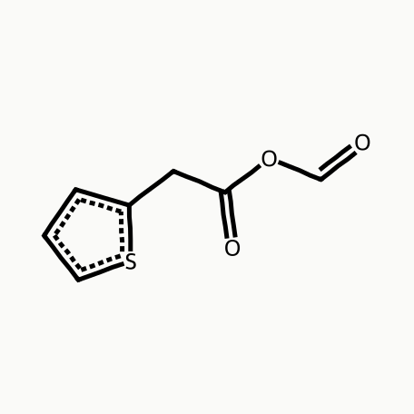 O=COC(=O)Cc1cccs1